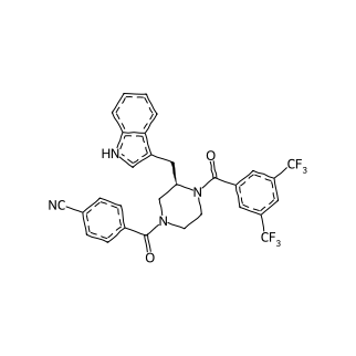 N#Cc1ccc(C(=O)N2CCN(C(=O)c3cc(C(F)(F)F)cc(C(F)(F)F)c3)[C@H](Cc3c[nH]c4ccccc34)C2)cc1